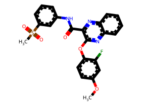 COc1ccc(Oc2nc3ccccc3nc2C(=O)Nc2cccc(S(C)(=O)=O)c2)c(F)c1